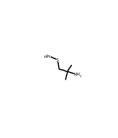 CCCSCC(C)(C)N